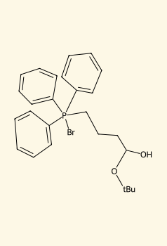 CC(C)(C)OC(O)CCCP(Br)(c1ccccc1)(c1ccccc1)c1ccccc1